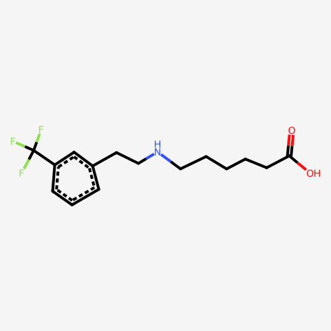 O=C(O)CCCCCNCCc1cccc(C(F)(F)F)c1